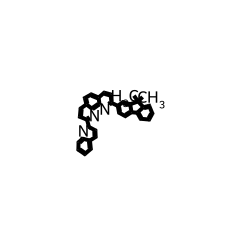 CC1(C)c2ccccc2-c2ccc(-c3ccc4ccc5ccc(-c6ccc7ccccc7n6)nc5c4n3)cc21